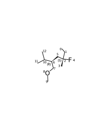 CC[C@](C)(F)C[C@@H](COC)C(C)C